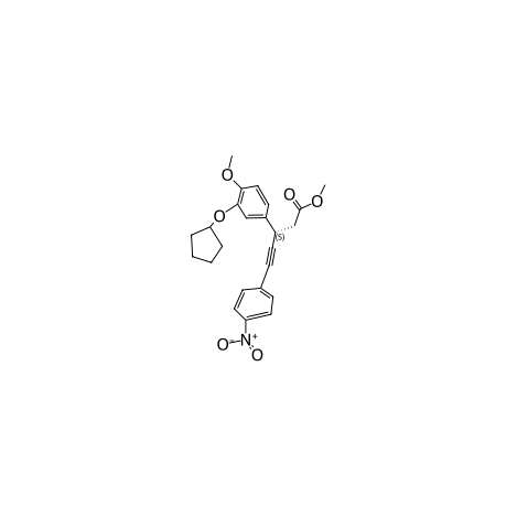 COC(=O)C[C@H](C#Cc1ccc([N+](=O)[O-])cc1)c1ccc(OC)c(OC2CCCC2)c1